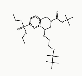 CCOP(=O)(OCC)c1ccc2c(n1)C(OCCO[Si](C)(C)C(C)(C)C)CN(C(=O)OC(C)(C)C)C2